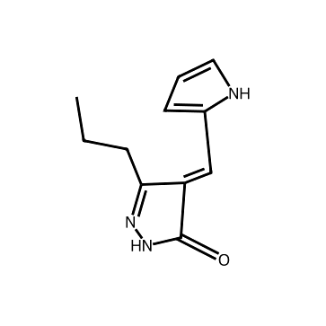 CCCC1=NNC(=O)/C1=C/c1ccc[nH]1